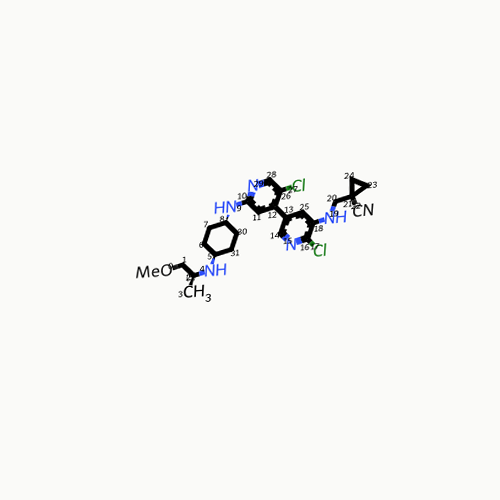 COC[C@H](C)N[C@H]1CC[C@H](Nc2cc(-c3cnc(Cl)c(NCC4(C#N)CC4)c3)c(Cl)cn2)CC1